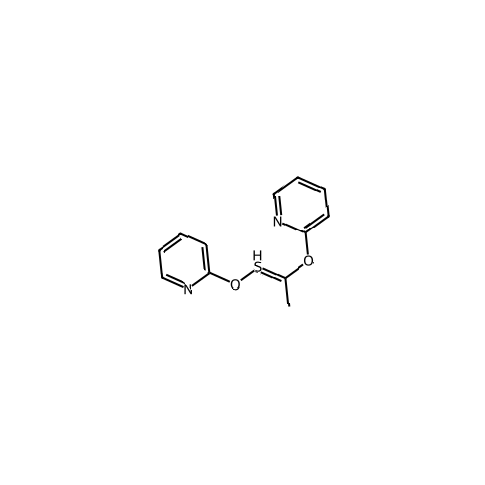 CC(Oc1ccccn1)=[SH]Oc1ccccn1